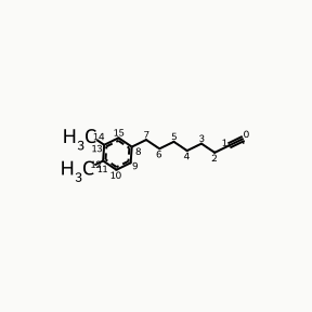 [C]#CCCCCCCc1ccc(C)c(C)c1